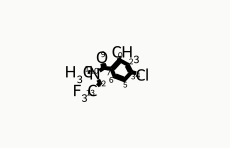 Cc1cc(Cl)ccc1C(=O)N(C)CC(F)(F)F